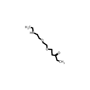 CCNCCOCCOCCC(=O)CC